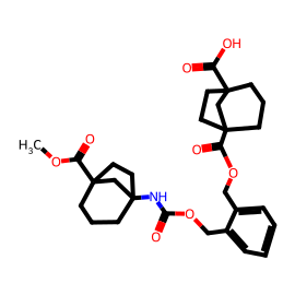 COC(=O)C12CCCC(NC(=O)OCc3ccccc3COC(=O)C34CCCC(C(=O)O)(CC3)C4)(CC1)C2